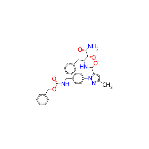 Cc1cc(C(=O)NC(Cc2ccccc2)C(=O)C(N)=O)n(-c2ccc(CNC(=O)OCc3ccccc3)cc2)n1